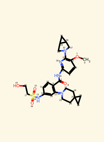 COc1ccc(NC(=O)c2ccc(NS(=O)(=O)CCO)cc2N2CCC3(CC2)CC3)nc1N1CC2CC2C1